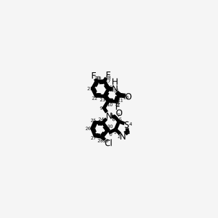 CC1N=CSC1C(=O)N(Cc1c(F)c(=O)[nH]c2c(F)c(F)ccc12)c1cccc(Cl)c1